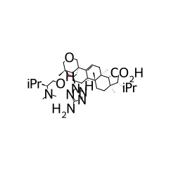 CC(C)[C@@H](CO[C@H]1[C@H](n2nnc(N)n2)C[C@@]23COC[C@]1(C)[C@@H]2CC[C@H]1C3=CC[C@@]2(C)[C@H](C(=O)O)[C@@](C)([C@H](C)C(C)C)CC[C@]12C)N(C)C